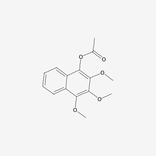 COc1c(OC)c(OC(C)=O)c2ccccc2c1OC